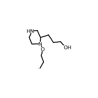 [CH2]CCON1CCNCC1CCCO